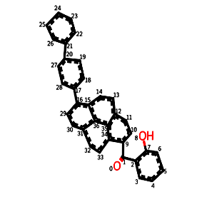 O=C(c1ccccc1O)c1ccc2ccc3c(-c4ccc(-c5ccccc5)cc4)ccc4ccc1c2c43